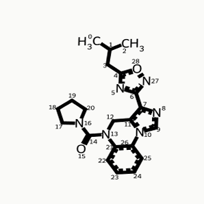 CC(C)Cc1nc(-c2ncn3c2CN(C(=O)N2CCCC2)c2ccccc2-3)no1